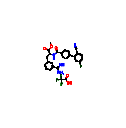 COC(=O)[C@H](Cc1cccc(C(=N)N)c1)NC(=O)c1ccc(-c2cc(F)ccc2C#N)cc1.O=C(O)C(F)(F)F